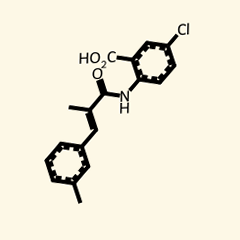 C/C(=C\c1cccc(C)c1)C(=O)Nc1ccc(Cl)cc1C(=O)O